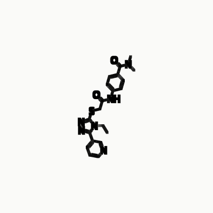 CCn1c(SCC(=O)Nc2ccc(C(=O)N(C)C)cc2)nnc1-c1cccnc1